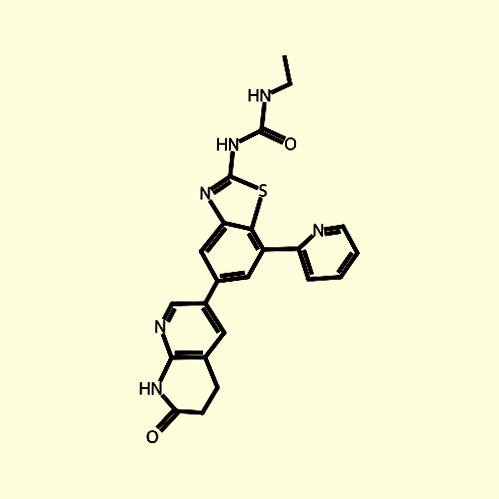 CCNC(=O)Nc1nc2cc(-c3cnc4c(c3)CCC(=O)N4)cc(-c3ccccn3)c2s1